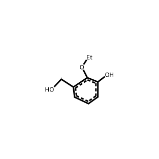 CCOc1c(O)cccc1[CH]O